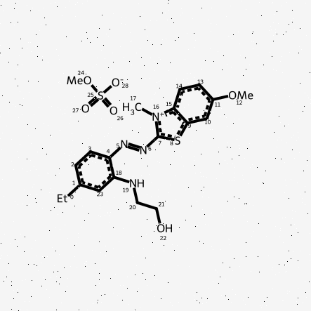 CCc1ccc(N=Nc2sc3cc(OC)ccc3[n+]2C)c(NCCO)c1.COS(=O)(=O)[O-]